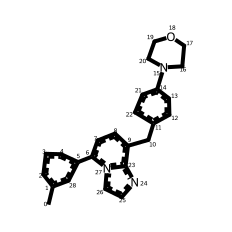 Cc1cccc(-c2ccc(Cc3ccc(N4CCOCC4)cc3)c3nccn23)c1